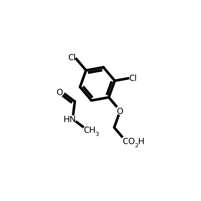 CNC=O.O=C(O)COc1ccc(Cl)cc1Cl